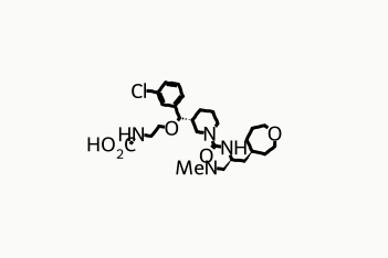 CNC[C@H](C[C@H]1CCCOCC1)NC(=O)N1CCC[C@@H](C(OCCNC(=O)O)c2cccc(Cl)c2)C1